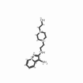 Nc1c(NCCN2CCN(CCO)CC2)nn2ccccc12